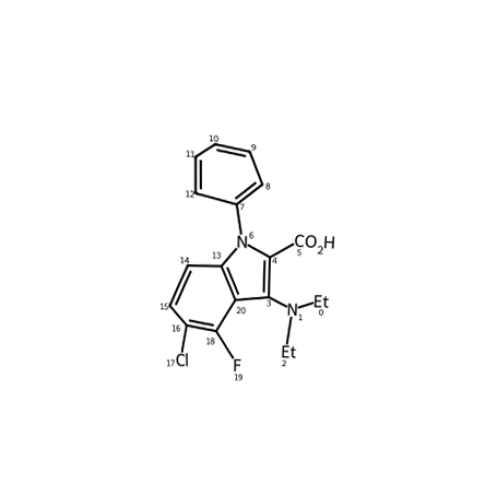 CCN(CC)c1c(C(=O)O)n(-c2ccccc2)c2ccc(Cl)c(F)c12